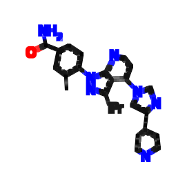 Cc1cc(C(N)=O)ccc1-n1nc(C(C)C)c2c(-n3cnc(-c4ccncc4)c3)ccnc21